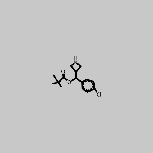 CC(C)(C)C(=O)OC(c1ccc(Cl)cc1)C1CNC1